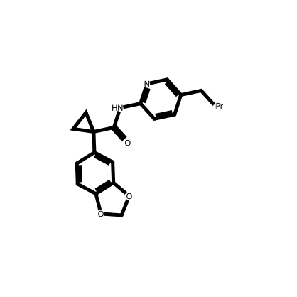 CC(C)Cc1ccc(NC(=O)C2(c3ccc4c(c3)OCO4)CC2)nc1